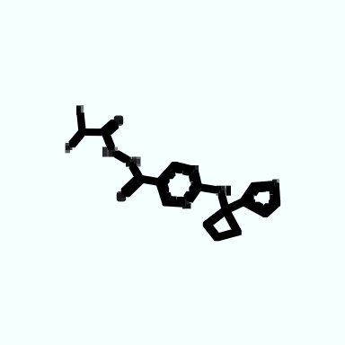 O=C(NNC(=O)C(F)F)c1cnc(NC2(c3ccsc3)CCC2)nc1